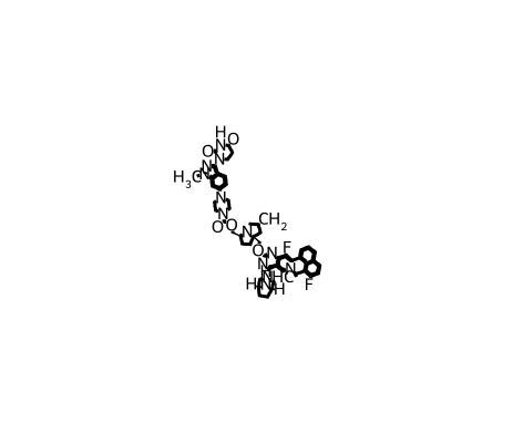 C#Cc1c(F)ccc2cccc(-c3ncc4c(N5C[C@H]6CC[C@@H](C5)N6)nc(OC[C@@]56CC[C@@H](COC(=O)N7CCN(c8ccc9c(N%10CCC(=O)NC%10=O)nn(C)c9c8)CC7)N5CC(=C)C6)nc4c3F)c12